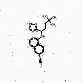 CC(C)(C)CCC(Nc1ncnc2cc(C#N)ccc12)c1nn[nH]n1